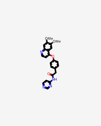 COc1cc2nccc(Oc3ccc(CC(=O)Nc4ccncn4)cc3)c2cc1OC